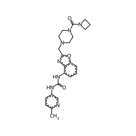 Cc1ccc(NC(=O)Nc2cccc3oc(CN4CCN(C(=O)N5CCC5)CC4)nc23)cn1